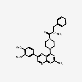 COc1ccc(-c2cnc3nc(N)nc(N4CCN(C(=O)[C@@H](N)Cc5ccccc5)CC4)c3n2)cc1OC